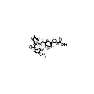 Cc1ccc(C(=O)c2cccn2CCc2cccc(OCC(=O)O)c2)cc1